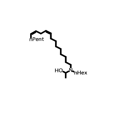 CCCCC/C=C\C/C=C\CCCCCCCCN(CCCCCC)C(C)O